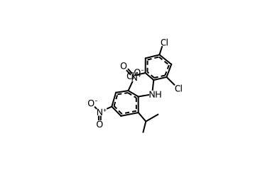 CC(C)c1cc([N+](=O)[O-])cc([N+](=O)[O-])c1Nc1c(Cl)cc(Cl)cc1Cl